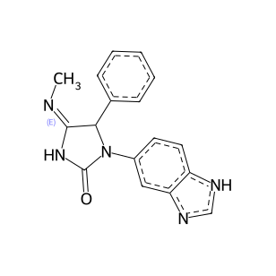 C/N=C1/NC(=O)N(c2ccc3[nH]cnc3c2)C1c1ccccc1